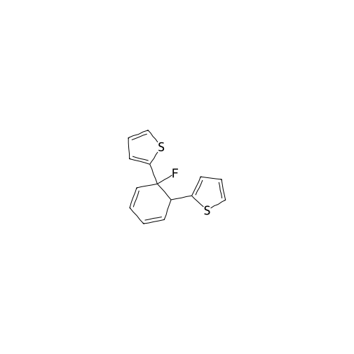 FC1(c2cccs2)C=CC=CC1c1cccs1